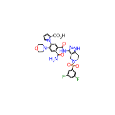 NC(=O)c1cc(N2CCOCC2)c(-n2cccc2C(=O)O)cc1C(=O)Nc1n[nH]c2c1CN(S(=O)(=O)c1cc(F)cc(F)c1)CC2